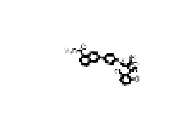 CC(C)c1onc(-c2c(Cl)cccc2Cl)c1COc1ccc(-c2ccc3c(C(N)=O)cccc3c2)cc1